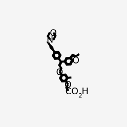 Cc1cc2cc(/C(=C\COc3ccc(OCC(=O)O)c(C)c3)c3ccc(C#CCN4CCOCC4)cc3)ccc2o1